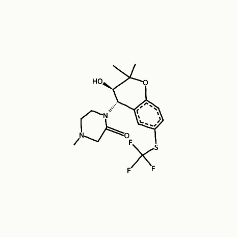 CN1CCN([C@H]2c3cc(SC(F)(F)F)ccc3OC(C)(C)[C@@H]2O)C(=O)C1